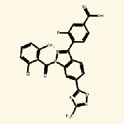 Cc1noc(-c2ccc3c(-c4ccc(C(=O)O)cc4F)nn(C(=O)c4c(C)cccc4Cl)c3c2)n1